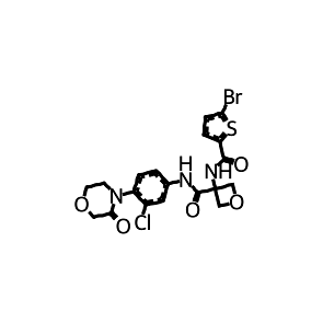 O=C(NC1(C(=O)Nc2ccc(N3CCOCC3=O)c(Cl)c2)COC1)c1ccc(Br)s1